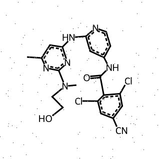 Cc1cc(Nc2cc(NC(=O)c3c(Cl)cc(C#N)cc3Cl)ccn2)nc(N(C)CCO)n1